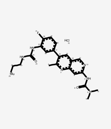 Cc1nc2cc(NC(=O)N(C)C)ncc2cc1-c1ccc(F)c(NC(=O)NCCC(C)(C)C)c1.Cl